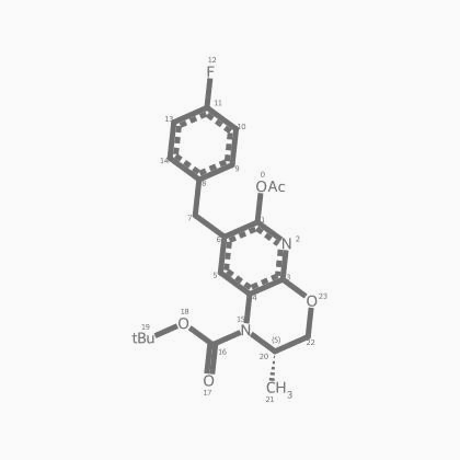 CC(=O)Oc1nc2c(cc1Cc1ccc(F)cc1)N(C(=O)OC(C)(C)C)[C@@H](C)CO2